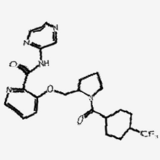 O=C(Nc1cnccn1)c1ncccc1OCC1CCCN1C(=O)C1CCC(C(F)(F)F)CC1